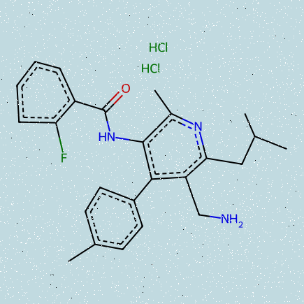 Cc1ccc(-c2c(CN)c(CC(C)C)nc(C)c2NC(=O)c2ccccc2F)cc1.Cl.Cl